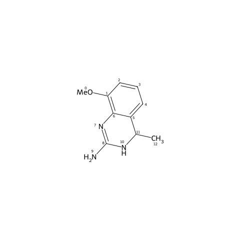 COc1cccc2c1N=C(N)NC2C